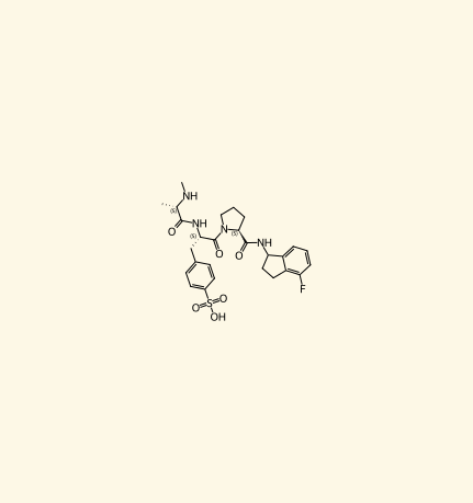 CN[C@@H](C)C(=O)N[C@@H](Cc1ccc(S(=O)(=O)O)cc1)C(=O)N1CCC[C@H]1C(=O)NC1CCc2c(F)cccc21